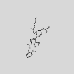 CCCCCC(C)Oc1cc(OC(F)F)ccc1-c1cnc(C(C)CCc2ccccc2OC)c2c1=NCN=2